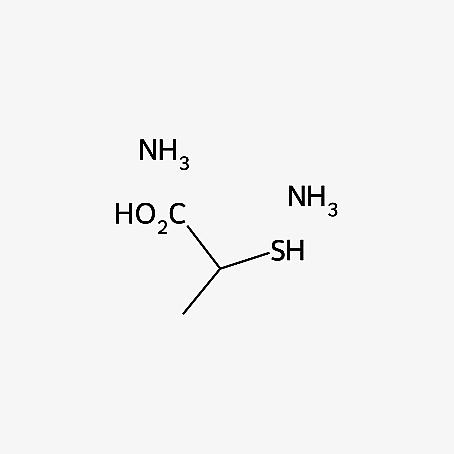 CC(S)C(=O)O.N.N